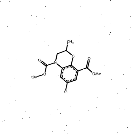 COC(=O)c1cc(Cl)cc2c1OC(C)CN2C(=O)OC(C)(C)C